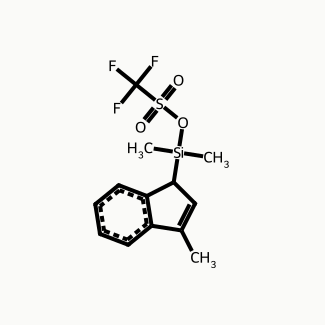 CC1=CC([Si](C)(C)OS(=O)(=O)C(F)(F)F)c2ccccc21